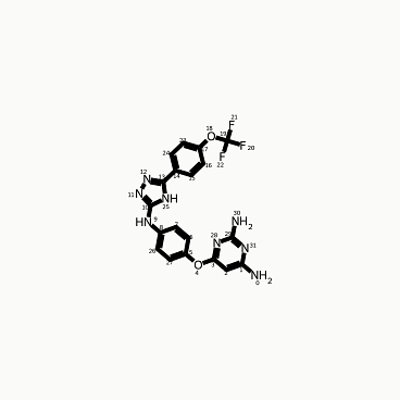 Nc1cc(Oc2ccc(Nc3nnc(-c4ccc(OC(F)(F)F)cc4)[nH]3)cc2)nc(N)n1